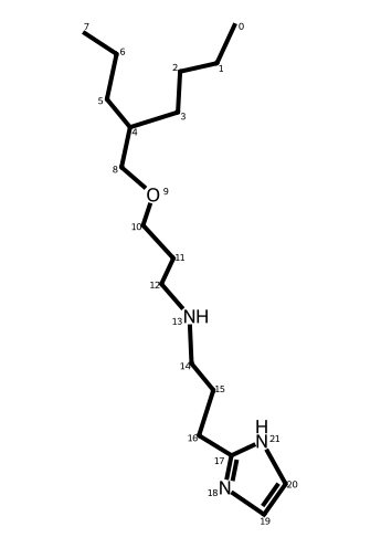 CCCCC(CCC)COCCCNCCCc1ncc[nH]1